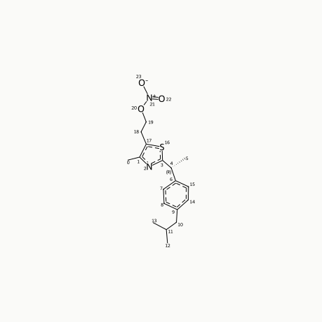 Cc1nc([C@H](C)c2ccc(CC(C)C)cc2)sc1CCO[N+](=O)[O-]